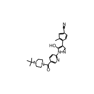 Cc1cc(C#N)ccc1-c1cnn(-c2ccc(C(=O)N3CCN(C(C)(C)C)CC3)cn2)c1O